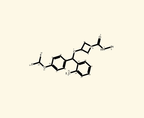 CC(C)NC(=O)N1CC(OC(c2ccc(OC(F)F)cc2)c2ccccc2C(F)(F)F)C1